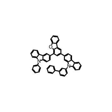 c1ccc(-c2cccc(-n3c4ccccc4c4ccc(-c5cc(-c6ccc7c(c6)c6ccccc6n7-c6ccccc6)c6oc7ccccc7c6c5)cc43)c2)cc1